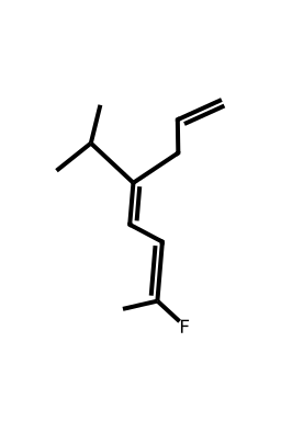 C=CC/C(=C\C=C(/C)F)C(C)C